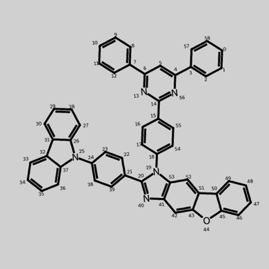 c1ccc(-c2cc(-c3ccccc3)nc(-c3ccc(-n4c(-c5ccc(-n6c7ccccc7c7ccccc76)cc5)nc5cc6oc7ccccc7c6cc54)cc3)n2)cc1